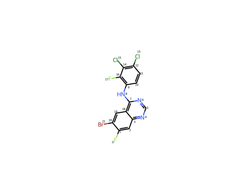 Fc1cc2ncnc(Nc3ccc(Cl)c(Cl)c3F)c2cc1Br